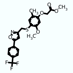 COC(=O)COc1cc(OC)c(SCc2cc(-c3ccc(C(F)(F)F)cc3)on2)cc1C